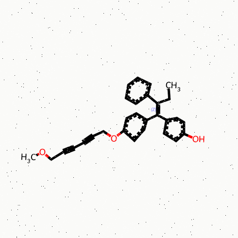 CC/C(=C(\c1ccc(O)cc1)c1ccc(OCC#CC#CCOC)cc1)c1ccccc1